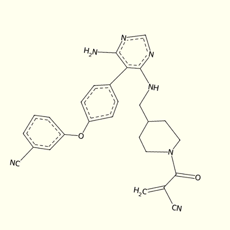 C=C(C#N)C(=O)N1CCC(CNc2ncnc(N)c2-c2ccc(Oc3cccc(C#N)c3)cc2)CC1